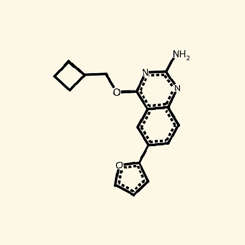 Nc1nc(OCC2CCC2)c2cc(-c3ccco3)ccc2n1